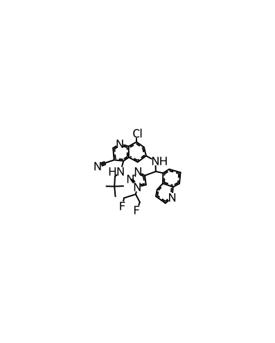 CC(C)(C)CNc1c(C#N)cnc2c(Cl)cc(NC(c3cn(C(CF)CF)nn3)c3cccc4ncccc34)cc12